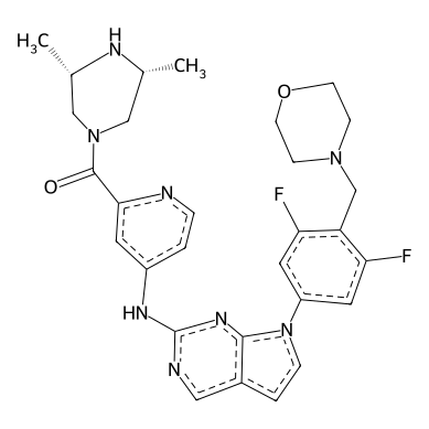 C[C@@H]1CN(C(=O)c2cc(Nc3ncc4ccn(-c5cc(F)c(CN6CCOCC6)c(F)c5)c4n3)ccn2)C[C@H](C)N1